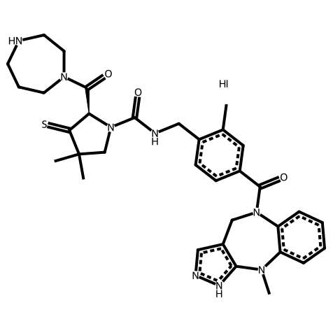 Cc1cc(C(=O)N2Cc3cn[nH]c3N(C)c3ccccc32)ccc1CNC(=O)N1CC(C)(C)C(=S)[C@H]1C(=O)N1CCCNCC1.I